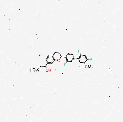 COc1cc(-c2ccc(C3CCc4ccc([C@H](O)CC(=O)O)cc4O3)c(F)c2)c(F)cc1F